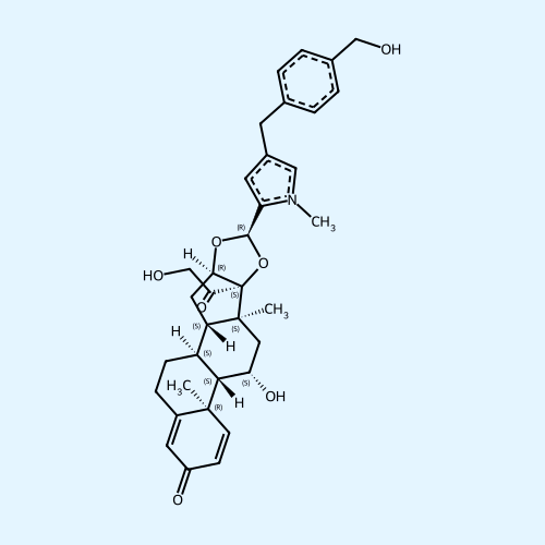 Cn1cc(Cc2ccc(CO)cc2)cc1[C@@H]1O[C@@H]2C[C@H]3[C@@H]4CCC5=CC(=O)C=C[C@]5(C)[C@H]4[C@@H](O)C[C@]3(C)[C@]2(C(=O)CO)O1